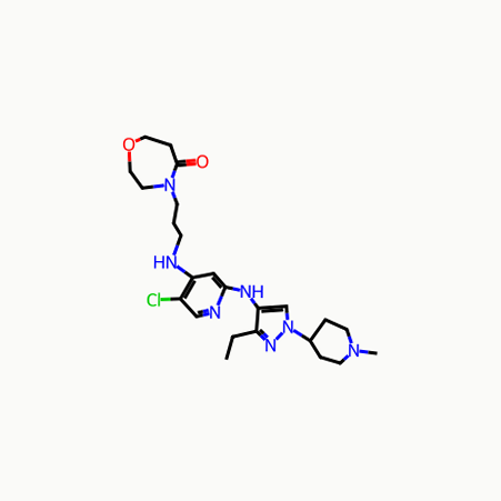 CCc1nn(C2CCN(C)CC2)cc1Nc1cc(NCCCN2CCOCCC2=O)c(Cl)cn1